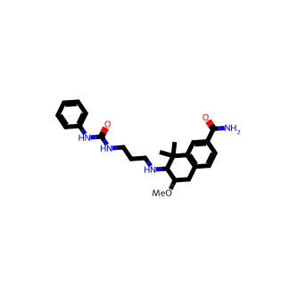 COC1Cc2ccc(C(N)=O)cc2C(C)(C)C1NCCCNC(=O)Nc1ccccc1